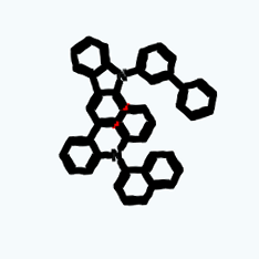 c1ccc(-c2cccc(-n3c4ccccc4c4cc(-c5ccccc5N(c5ccccc5)c5cccc6ccccc56)ccc43)c2)cc1